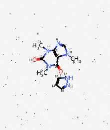 Cn1c(=O)c2c(ncn2C)n(C)c1=O.c1cn[nH]c1